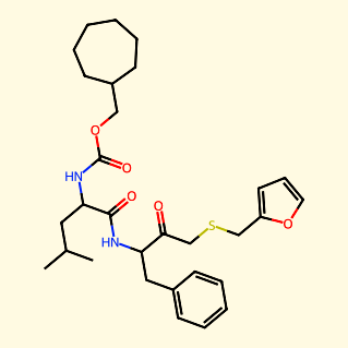 CC(C)CC(NC(=O)OCC1CCCCCC1)C(=O)NC(Cc1ccccc1)C(=O)CSCc1ccco1